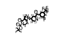 CC(C)(C)OC(=O)N1CCc2c(cnn2-c2ccnc(C(=O)c3cc(F)cc(C(F)(F)F)c3)c2)C1=O